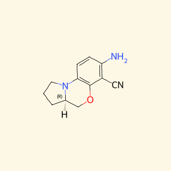 N#Cc1c(N)ccc2c1OC[C@H]1CCCN21